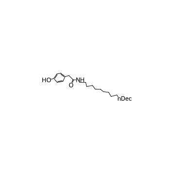 CCCCCCCCCCCCCCCCCCCCNC(=O)Cc1ccc(O)cc1